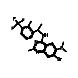 Cc1nc(NC(C)c2cccc(C(F)(F)F)c2C)c2cc(P(C)C)c(Br)cc2n1